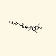 O=C(COC1CC(OC(F)(F)F)C1)NC12CC(NC(=O)[C@@H]3C[C@@H](O)c4cc(Cl)c(Cl)cc4O3)(C1)C2